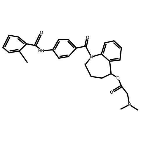 Cc1ccccc1C(=O)Nc1ccc(C(=O)N2CCCC(OC(=O)CN(C)C)c3ccccc32)cc1